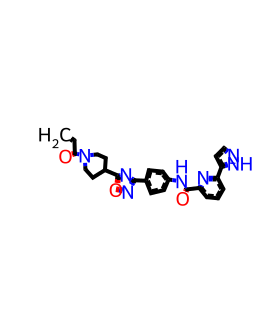 C=CC(=O)N1CCC(c2nc(-c3ccc(NC(=O)c4cccc(-c5ccn[nH]5)n4)cc3)no2)CC1